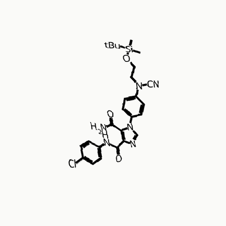 CC(C)(C)[Si](C)(C)OCCN(C#N)c1ccc(-n2cnc(C(=O)Nc3ccc(Cl)cc3)c2C(N)=O)cc1